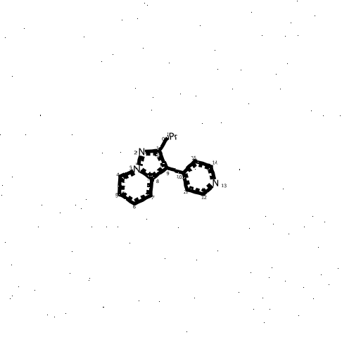 CC(C)c1nn2ccccc2c1-c1ccncc1